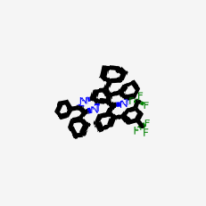 FC(F)(F)c1cc(-c2ccccc2-c2nc3ccccc3c3c(-c4ccccc4)cc4nc(-c5ccccc5)c(-c5ccccc5)nc4c23)cc(C(F)(F)F)c1